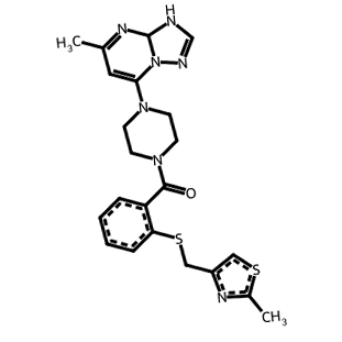 CC1=NC2NC=NN2C(N2CCN(C(=O)c3ccccc3SCc3csc(C)n3)CC2)=C1